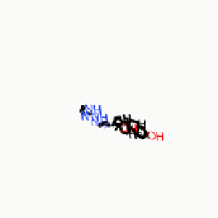 C[C@]12CC[C@H](O)C[C@H]1CC[C@@H]1[C@@H]2CC[C@]2(C)[C@@H](/C=C/C=N\NC3=NCCN3)CC[C@]12O